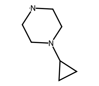 C1CN(C2CC2)CC[N]1